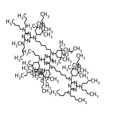 CCCCN(C)c1nc(N(CCCC)CCCC)nc(N(CCCCCCN(c2nc(N(CCCC)C3CC(C)(C)N(OCCC)C(C)(C)C3)nc(N(CCCCCCN(c3nc(N(CCCC)CCCC)nc(N(CCCC)CCCC)n3)C3CC(C)(C)N(OCCC)C(C)(C)C3)C3CC(C)(C)N(OCCC)C(C)(C)C3)n2)C2CC(C)(C)N(OCCC)C(C)(C)C2)C2CC(C)(C)N(OCCC)C(C)(C)C2)n1